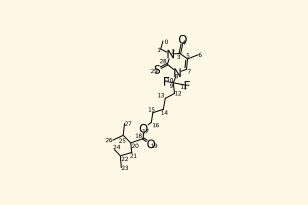 CCn1c(=O)c(C)cn(C(F)(F)CCCCCOC(=O)C(CC(C)C)C(C)C)c1=S